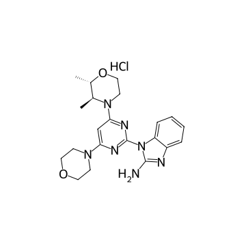 C[C@@H]1OCCN(c2cc(N3CCOCC3)nc(-n3c(N)nc4ccccc43)n2)[C@H]1C.Cl